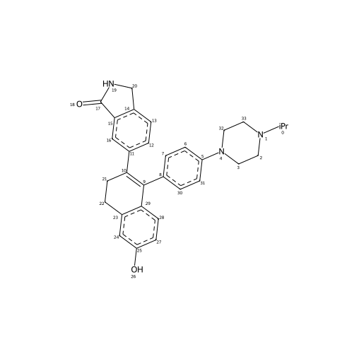 CC(C)N1CCN(c2ccc(C3=C(c4ccc5c(c4)C(=O)NC5)CCc4cc(O)ccc43)cc2)CC1